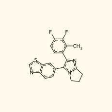 Cc1c(-c2nc3n(c2-c2ccc4ncsc4c2)CCC3)ccc(F)c1F